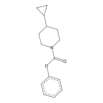 O=C(Oc1ccccc1)N1CCC(C2CC2)CC1